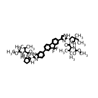 CCC1(C)C[C@@H](c2nc(-c3ccc4c(c3)C(F)(F)c3cc(-c5ccc6nc([C@@H]7[C@H]8CC[C@H](C8)N7C(=O)[C@@H](NC(=O)OC)C(C)C)[nH]c6c5)ccc3-4)c[nH]2)N(C(=O)[C@@H](NC(=O)OC)C(C)C)C1